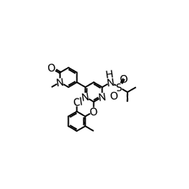 Cc1cccc(Cl)c1Oc1nc(NS(=O)(=O)C(C)C)cc(-c2ccc(=O)n(C)c2)n1